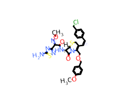 CO/N=C(\C(=O)N[C@@H]1C(=O)N2C(COCc3ccc(OC)cc3)=C(/C=C\c3ccc(CCl)cc3)CS[C@H]12)c1nsc(N)n1